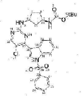 CC(C)(C)OC(=O)N[C@@H]1CCC(Nc2ncc(Cl)c(-c3cn(S(=O)(=O)c4ccccc4)c4ccccc34)n2)C1